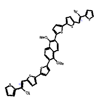 COc1c(-c2ccc(-c3ccc(/C=C(\C#N)c4cccs4)s3)s2)ccc2c(OC)c(-c3ccc(-c4ccc(/C=C(\C#N)c5cccs5)s4)s3)ccc12